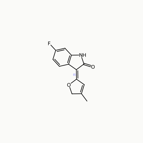 CC1=C/C(=C2\C(=O)Nc3cc(F)ccc32)OC1